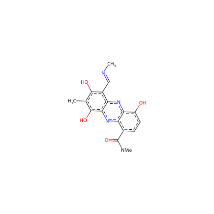 CN=Cc1c(O)c(C)c(O)c2nc3c(C(=O)NC)ccc(O)c3nc12